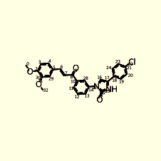 COc1ccc(C=CC(=O)c2cccc(-n3cc(-c4ccc(Cl)cc4)[nH]c3=O)c2)cc1OC